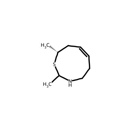 CC1NCC/C=C\C[C@@H](C)S1